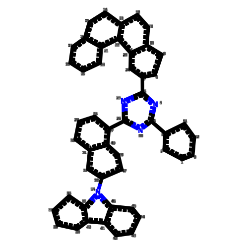 c1ccc(-c2nc(-c3ccc4ccc5ccc6ccccc6c5c4c3)nc(-c3cccc4cc(-n5c6ccccc6c6ccccc65)ccc34)n2)cc1